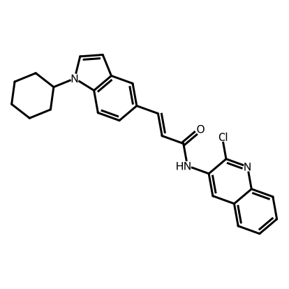 O=C(C=Cc1ccc2c(ccn2C2CCCCC2)c1)Nc1cc2ccccc2nc1Cl